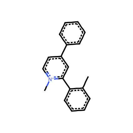 Cc1ccccc1-c1cc(-c2ccccc2)cc[n+]1C